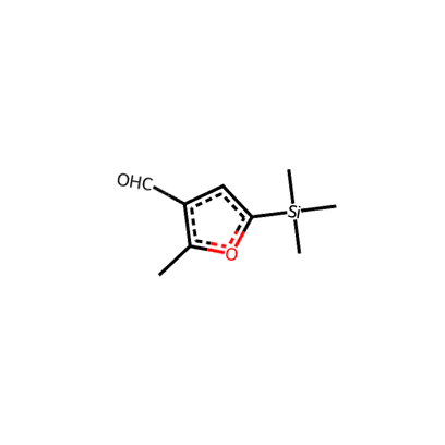 Cc1oc([Si](C)(C)C)cc1C=O